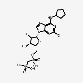 O=P(O)(O)CP(=O)(O)OC[C@H]1O[C@@H](n2cnc3c(NC4CCCC4)nc(Cl)nc32)C(F)[C@@H]1O